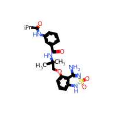 CC(C)C(=O)Nc1cccc(C(=O)NC(C)(C)COc2cccc3c2C(N)=NS(=O)(=O)N3)c1